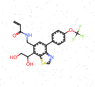 C=CC(=O)NCc1cc(-c2ccc(OC(F)(F)F)cc2)c2ncsc2c1C(O)CO